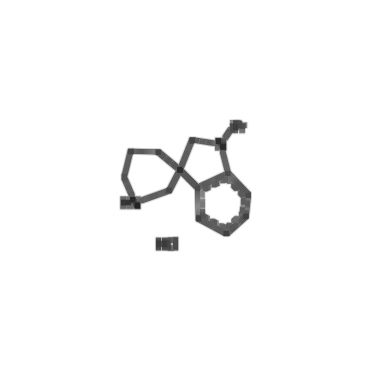 CC(C)N1CC2(CCCNC2)c2ccccc21.Cl